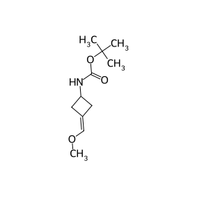 COC=C1CC(NC(=O)OC(C)(C)C)C1